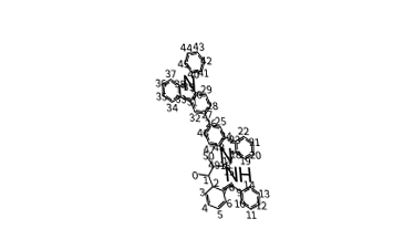 CC1C2C=CC=CC2=C(c2ccccc2)NC(n2c3ccccc3c3cc(-c4ccc5c(c4)c4ccccc4n5-c4ccccc4)ccc32)C1C